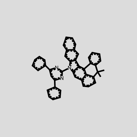 CC1(C)c2ccccc2-c2c3c1cccc3cc1c2c2cc3ccccc3cc2n1-c1nc(-c2ccccc2)cc(-c2ccccc2)n1